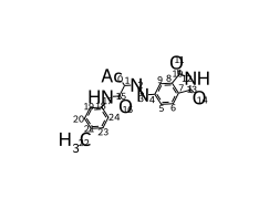 CC(=O)C(N=Nc1ccc2c(c1)C(=O)NC2=O)C(=O)Nc1ccc(C)cc1